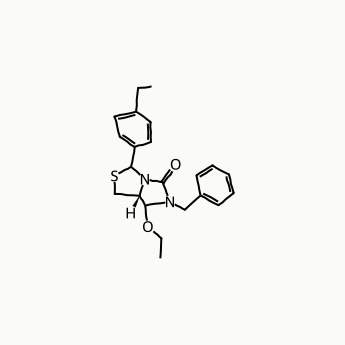 CCOC1[C@@H]2CSC(c3ccc(CC)cc3)N2C(=O)N1Cc1ccccc1